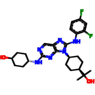 CC(C)(O)[C@H]1CC[C@@H](n2c(Nc3ccc(F)cc3F)nc3cnc(N[C@H]4CC[C@H](O)CC4)nc32)CC1